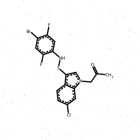 CC(=O)Cn1cc(SNc2cc(F)c(Br)cc2F)c2ccc(Cl)cc21